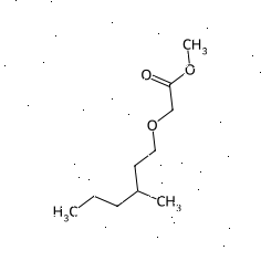 CCCC(C)CCOCC(=O)OC